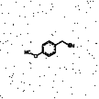 CCC(C)Cc1ccc(OC#N)cc1